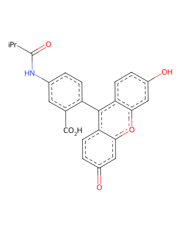 CC(C)C(=O)Nc1ccc(-c2c3ccc(=O)cc-3oc3cc(O)ccc23)c(C(=O)O)c1